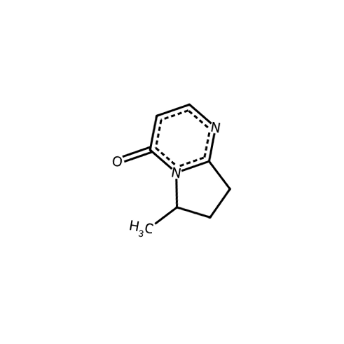 CC1CCc2nccc(=O)n21